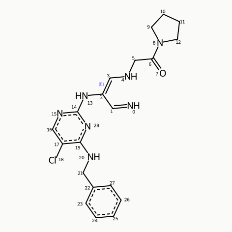 N=C/C(=C\NCC(=O)N1CCCC1)Nc1ncc(Cl)c(NCc2ccccc2)n1